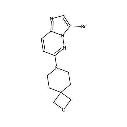 Brc1cnc2ccc(N3CCC4(CC3)COC4)nn12